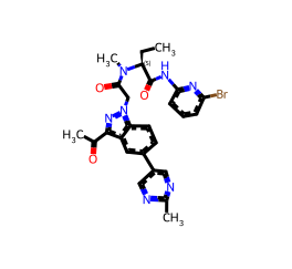 CC[C@@H](C(=O)Nc1cccc(Br)n1)N(C)C(=O)Cn1nc(C(C)=O)c2cc(-c3cnc(C)nc3)ccc21